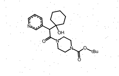 CC(C)(C)OC(=O)N1CCN(C(=O)C(c2cccnc2)C2(O)CCCCC2)CC1